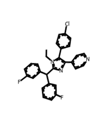 CCn1c(C(c2cccc(F)c2)c2cccc(F)c2)nc(-c2ccncc2)c1-c1ccc(Cl)cc1